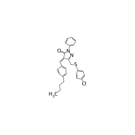 CCCCc1ccc(C=C2C(=O)N(c3ccccc3)N=C2CSc2ccc(Cl)cc2)cc1